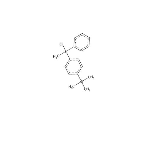 C[Si](C)(C)c1ccc([Si](C)(Cl)c2ccccc2)cc1